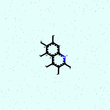 Cc1cc2nc(C)c(C)c(C)c2c(C)c1C